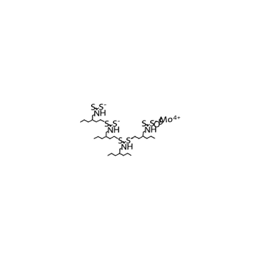 CCCC(CCC)CNC(=S)[S-].CCCC(CCC)CNC(=S)[S-].CCCC(CCC)CNC(=S)[S-].CCCC(CCC)CNC(=S)[S-].O=S.[Mo+4]